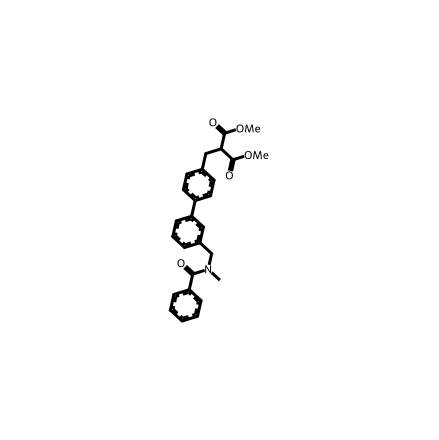 COC(=O)C(Cc1ccc(-c2cccc(CN(C)C(=O)c3ccccc3)c2)cc1)C(=O)OC